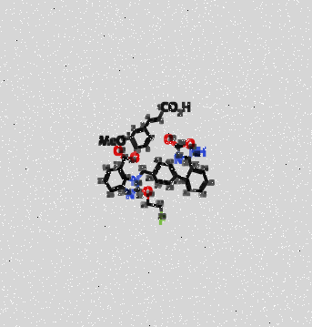 COc1cc(C=CC(=O)O)ccc1OC(=O)c1cccc2nc(OCCF)n(Cc3ccc(-c4ccccc4-c4nc(=O)o[nH]4)cc3)c12